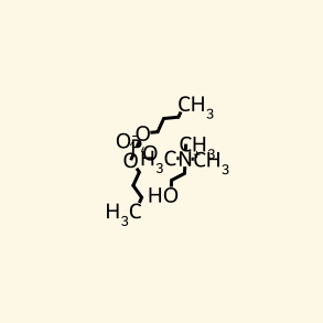 CCCCOP(=O)([O-])OCCCC.C[N+](C)(C)CCO